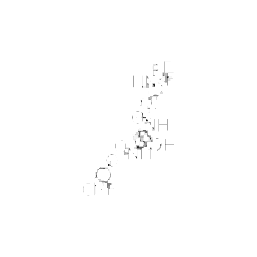 CC1(O)CC2(NC(=O)COc3ccc(Cl)c(F)c3)CCC1(NC(=O)COC1CCC(C(F)(F)F)NC1)CC2